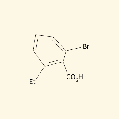 CCc1cccc(Br)c1C(=O)O